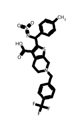 Cc1ccc(C(N=S(=O)=O)c2sc3c(c2C(=O)O)CCN(Cc2ccc(C(F)(F)F)cc2)C3)cc1